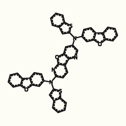 c1ccc2sc(N(c3ccc4c(c3)oc3ccccc34)c3cnc4c(c3)oc3nc(N(c5ccc6c(c5)oc5ccccc56)c5cc6ccccc6s5)ccc34)cc2c1